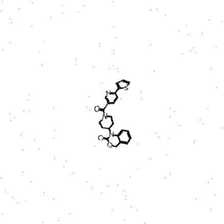 O=C(c1ccc(-c2cccs2)nc1)N1CCC(N2C(=O)OCc3ccccc32)CC1